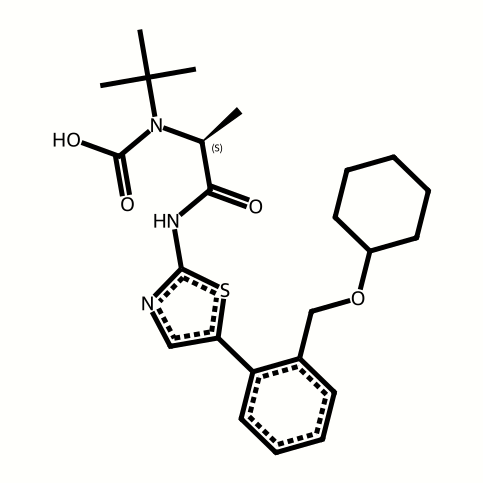 C[C@@H](C(=O)Nc1ncc(-c2ccccc2COC2CCCCC2)s1)N(C(=O)O)C(C)(C)C